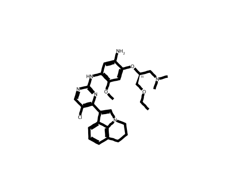 CCOC[C@H](CN(C)C)Oc1cc(OC)c(Nc2ncc(Cl)c(-c3cn4c5c(cccc35)CCC4)n2)cc1N